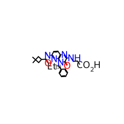 CC[C@@H](c1ccccc1)n1c(=O)c(NCCC(=O)O)nc2ccc(N(C)C(=O)C3CC(C)(C)C3)nc21